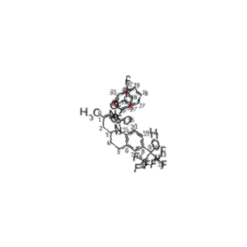 CC(CC1CCc2cc(C(O)(C(F)(F)F)C(F)(F)F)ccc2N1S(=O)(=O)c1ccc(F)cc1)=NOc1ccccc1